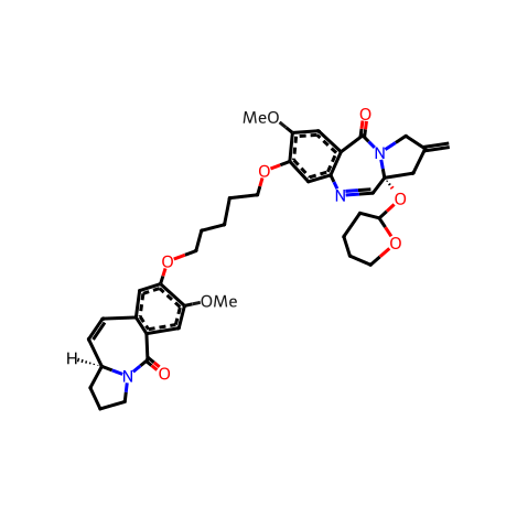 C=C1CN2C(=O)c3cc(OC)c(OCCCCCOc4cc5c(cc4OC)C(=O)N4CCC[C@H]4C=C5)cc3N=C[C@]2(OC2CCCCO2)C1